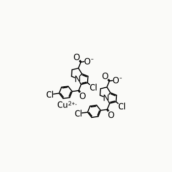 O=C(c1ccc(Cl)cc1)c1c(Cl)cc2n1CCC2C(=O)[O-].O=C(c1ccc(Cl)cc1)c1c(Cl)cc2n1CCC2C(=O)[O-].[Cu+2]